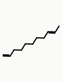 C=CCCCCCC/C=C/C